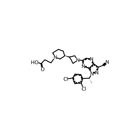 C[C@H](c1ccc(Cl)cc1Cl)n1nc(C#N)c2ncc(N3CC([C@@H]4CCCN(CCC(=O)O)C4)C3)nc21